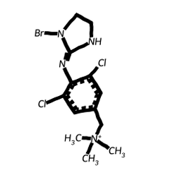 C[N+](C)(C)Cc1cc(Cl)c(N=C2NCCN2Br)c(Cl)c1